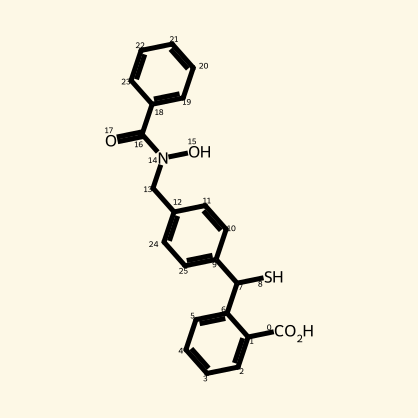 O=C(O)c1ccccc1C(S)c1ccc(CN(O)C(=O)c2ccccc2)cc1